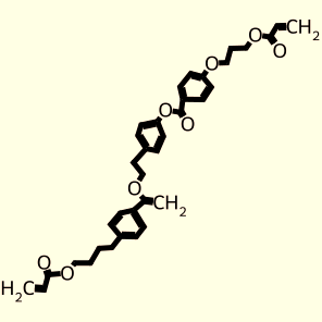 C=CC(=O)OCCCCc1ccc(C(=C)OCCc2ccc(OC(=O)c3ccc(OCCCOC(=O)C=C)cc3)cc2)cc1